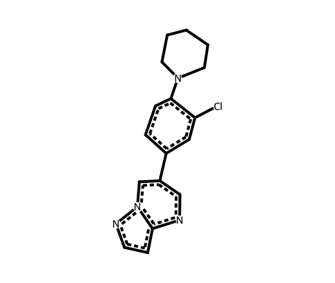 Clc1cc(-c2cnc3ccnn3c2)ccc1N1CCCCC1